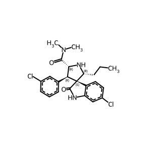 CCC[C@H]1N[C@@H](C(=O)N(C)C)[C@H](c2cccc(Cl)c2)[C@@]12C(=O)Nc1cc(Cl)ccc12